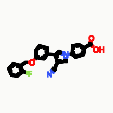 N#Cc1cn(-c2ccc(C(=O)O)cc2)cc1-c1cccc(OCc2ccccc2F)c1